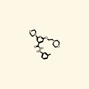 Cc1cccc(NNC(=O)c2cc(OCCN3CCOCC3)nc(N3CCOCC3)c2)c1